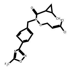 CC1CC1C(=O)N(Cc1ccc(-c2noc(C(F)(F)F)n2)cc1)OCC=C(Cl)Cl